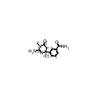 CC[C@@]1(c2cccc(C(N)=O)c2)CC(=O)N(C)C(N)=N1